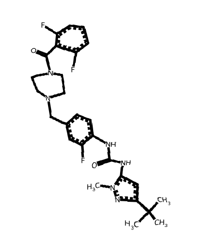 Cn1nc(C(C)(C)C)cc1NC(=O)Nc1ccc(CN2CCN(C(=O)c3c(F)cccc3F)CC2)cc1F